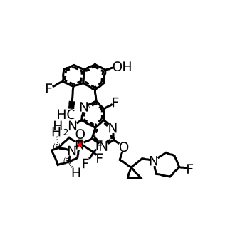 C#Cc1c(F)ccc2cc(O)cc(-c3nc(N)c4c(N5C[C@H]6CC[C@@H](C5)N6C(=O)C(F)(F)F)nc(OCC5(CN6CCC(F)CC6)CC5)nc4c3F)c12